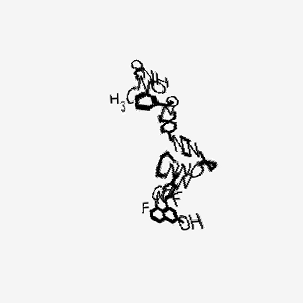 C#Cc1c(F)ccc2cc(O)cc(-c3ncc4c(N5CCCCCC5)nc(OCC5(CN6CCN(CC7CCC8(CC7)CCN(C(=O)c7ccc(C)c(N9CCC(=O)NC9=O)c7)CC8)CC6)CC5)nc4c3F)c12